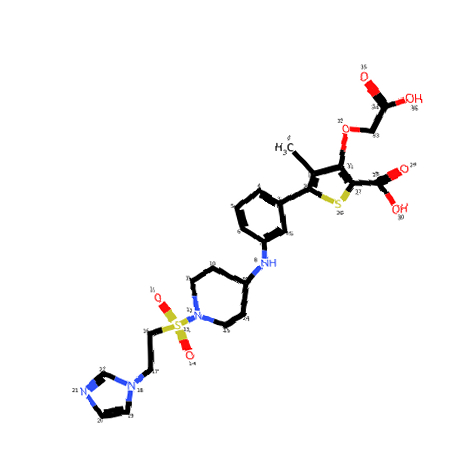 Cc1c(-c2cccc(NC3CCN(S(=O)(=O)CCn4ccnc4)CC3)c2)sc(C(=O)O)c1OCC(=O)O